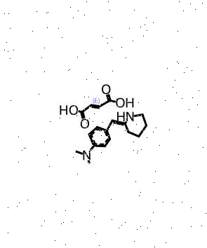 CN(C)c1ccc(C=C2CCCCN2)cc1.O=C(O)/C=C/C(=O)O